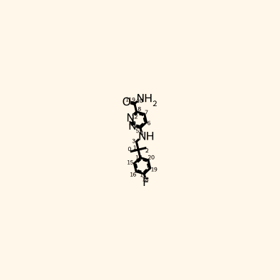 CC(C)(CNc1ccc(C(N)=O)nn1)c1ccc(F)cc1